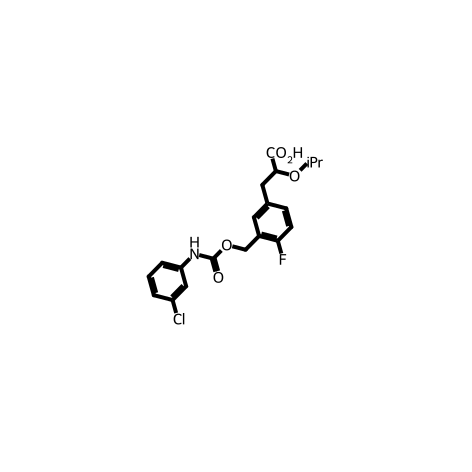 CC(C)OC(Cc1ccc(F)c(COC(=O)Nc2cccc(Cl)c2)c1)C(=O)O